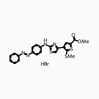 Br.COC(=O)c1cc(-c2csc(Nc3ccc(N=Nc4ccccc4)cc3)n2)c(SC)s1